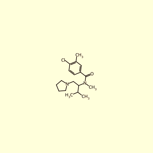 Cc1cc(C(=O)N(C)C(CN2CCCC2)C(C)C)ccc1Cl